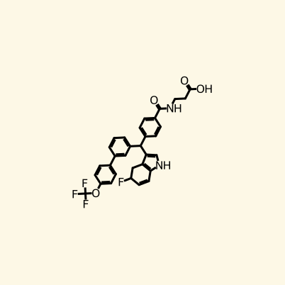 O=C(O)CCNC(=O)c1ccc(C(c2cccc(-c3ccc(OC(F)(F)F)cc3)c2)c2c[nH]c3c2CC(F)C=C3)cc1